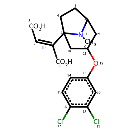 CN1C2CCC1(/C(=C\C(=O)O)C(=O)O)CC(Oc1ccc(Cl)c(Cl)c1)C2